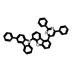 c1ccc(-c2ccc3c(c2)c2ccccc2n3-c2cccc3c2oc2cccc(-c4cc(-c5ccccc5)nc(-c5ccccc5)n4)c23)cc1